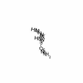 Cc1nc(Nc2ncc(C=Cc3ccc4nc(N)sc4c3)s2)cc(N2CCNCC2)n1